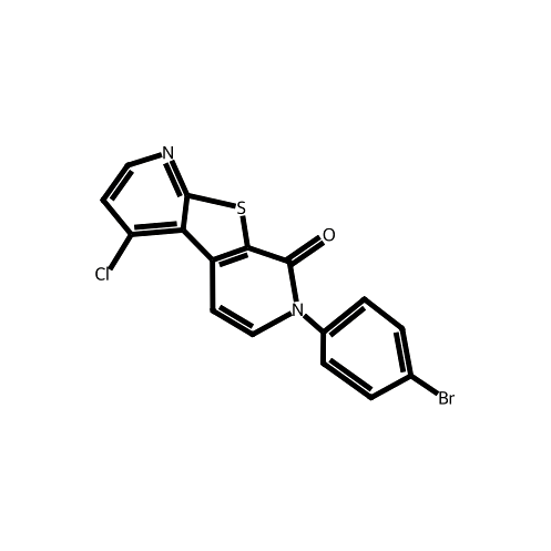 O=c1c2sc3nccc(Cl)c3c2ccn1-c1ccc(Br)cc1